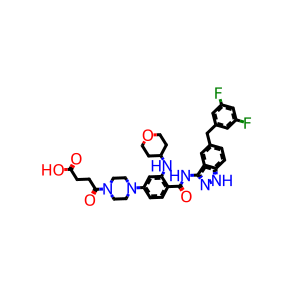 O=C(O)CCC(=O)N1CCN(c2ccc(C(=O)Nc3n[nH]c4ccc(Cc5cc(F)cc(F)c5)cc34)c(NC3CCOCC3)c2)CC1